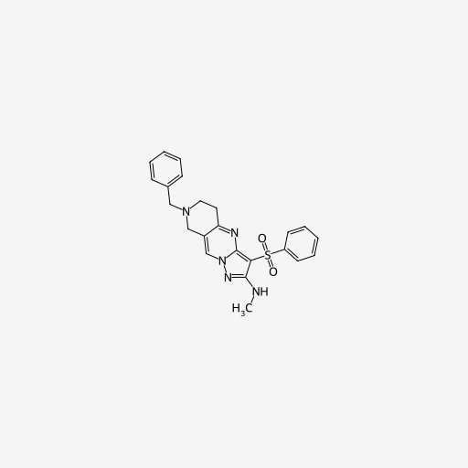 CNc1nn2cc3c(nc2c1S(=O)(=O)c1ccccc1)CCN(Cc1ccccc1)C3